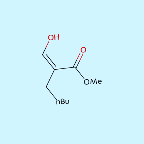 CCCCC/C(=C/O)C(=O)OC